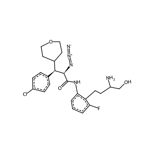 [N-]=[N+]=N[C@@H](C(=O)Nc1cccc(F)c1CCC(N)CO)[C@@H](c1ccc(Cl)cc1)C1CCOCC1